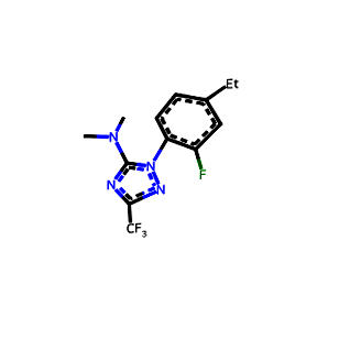 CCc1ccc(-n2nc(C(F)(F)F)nc2N(C)C)c(F)c1